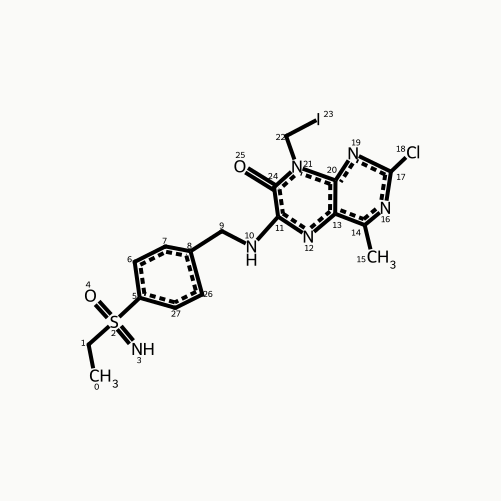 CCS(=N)(=O)c1ccc(CNc2nc3c(C)nc(Cl)nc3n(CI)c2=O)cc1